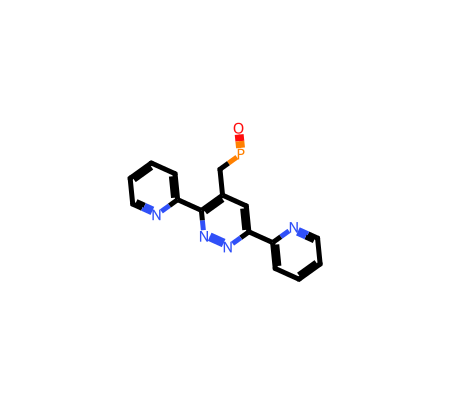 O=PCc1cc(-c2ccccn2)nnc1-c1ccccn1